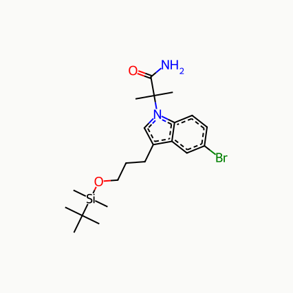 CC(C)(C(N)=O)n1cc(CCCO[Si](C)(C)C(C)(C)C)c2cc(Br)ccc21